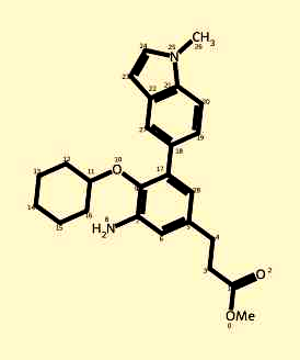 COC(=O)CCc1cc(N)c(OC2CCCCC2)c(-c2ccc3c(ccn3C)c2)c1